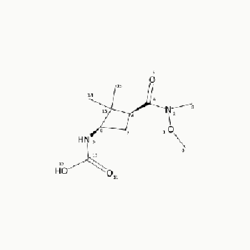 CON(C)C(=O)[C@H]1C[C@@H](NC(=O)O)C1(C)C